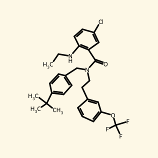 CCNc1ccc(Cl)cc1C(=O)N(CCc1cccc(OC(F)(F)F)c1)Cc1ccc(C(C)(C)C)cc1